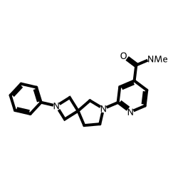 CNC(=O)c1ccnc(N2CCC3(CN(c4ccccc4)C3)C2)c1